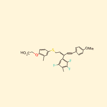 COc1ccc(C#CC(=CCSc2ccc(OCC(=O)O)c(C)c2)c2cc(F)c(C)c(F)c2F)cc1